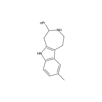 CCCC1Cc2[nH]c3ccc(C)cc3c2CCN1